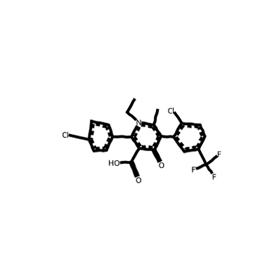 CCn1c(C)c(-c2cc(C(F)(F)F)ccc2Cl)c(=O)c(C(=O)O)c1-c1ccc(Cl)cc1